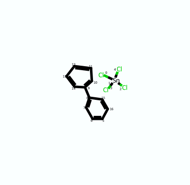 [Cl][Sn]([Cl])([Cl])[Cl].c1ccc(-c2ccccc2)cc1